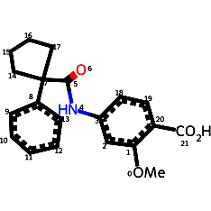 COc1cc(NC(=O)C2(c3ccccc3)CCCC2)ccc1C(=O)O